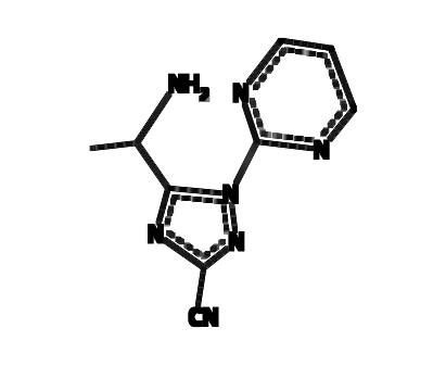 CC(N)c1nc(C#N)nn1-c1ncccn1